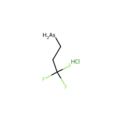 Cl.FC(F)(F)CC[AsH2]